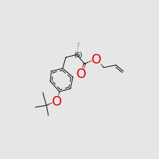 C=CCOC(=O)[C@@H](C)Cc1ccc(OC(C)(C)C)cc1